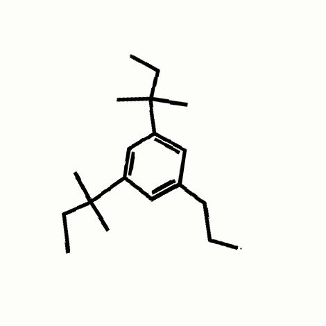 [CH2]CCc1cc(C(C)(C)CC)cc(C(C)(C)CC)c1